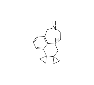 c1cc2c3c(c1)C1(CC1)C1(CC1)C[C@@H]3CCNC2